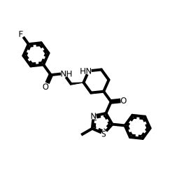 Cc1nc(C(=O)C2CCN[C@H](CNC(=O)c3ccc(F)cc3)C2)c(-c2ccccc2)s1